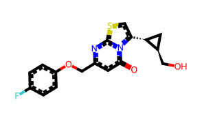 O=c1cc(COc2ccc(F)cc2)nc2scc([C@@H]3C[C@H]3CO)n12